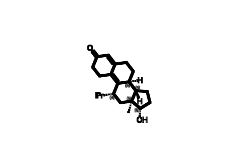 CC(C)[C@H]1C[C@]2(C)[C@@H](O)CC[C@H]2[C@@H]2CCC3=CC(=O)CCC3=C21